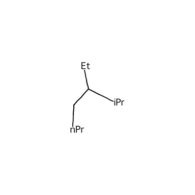 [CH2]CCCC(CC)C([CH2])C